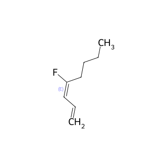 C=C/C=C(/F)CCCC